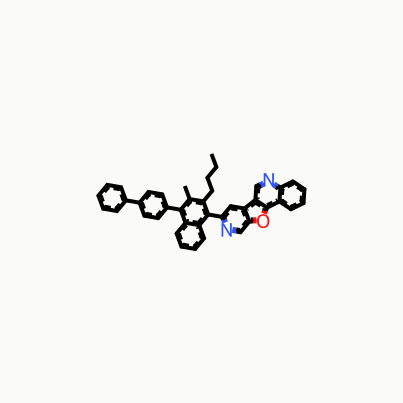 CCCCc1c(C)c(-c2ccc(-c3ccccc3)cc2)c2ccccc2c1-c1cc2c(cn1)oc1c3ccccc3ncc21